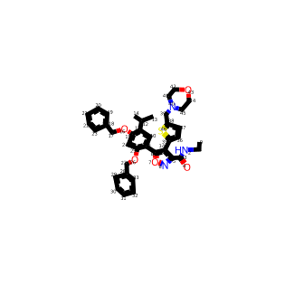 CCNC(=O)c1noc(-c2cc(C(C)C)c(OCc3ccccc3)cc2OCc2ccccc2)c1-c1ccc(CN2CCOCC2)s1